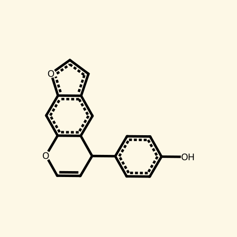 Oc1ccc(C2C=COc3cc4occc4cc32)cc1